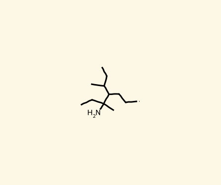 [CH2]CCC(C(C)CC)C(C)(N)CC